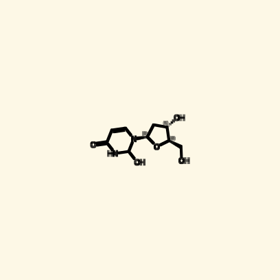 O=C1C=CN([C@H]2C[C@H](O)[C@@H](CO)O2)C(O)N1